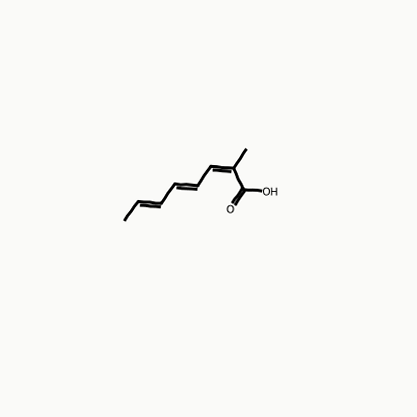 CC=CC=CC=C(C)C(=O)O